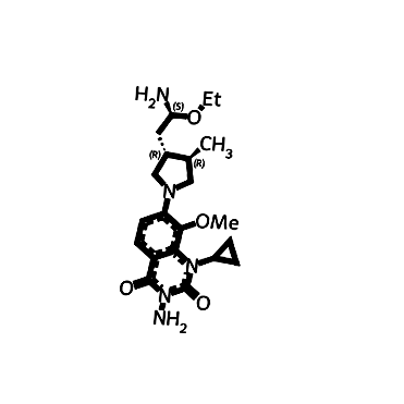 CCO[C@H](N)C[C@H]1CN(c2ccc3c(=O)n(N)c(=O)n(C4CC4)c3c2OC)C[C@@H]1C